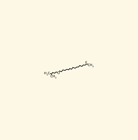 CC(C)CCCOCCCCCCCCCCCCCCCCC(C)F